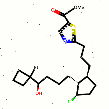 CCC1(C(O)CCC[C@@H]2[C@@H](CCCc3ncc(C(=O)OC)s3)CC[C@H]2Cl)CCC1